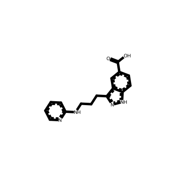 O=C(O)c1ccc2[nH]nc(CCCNc3ccccn3)c2c1